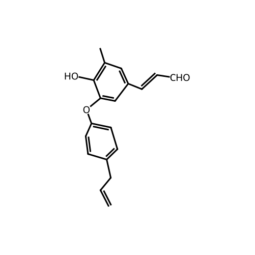 C=CCc1ccc(Oc2cc(/C=C/C=O)cc(C)c2O)cc1